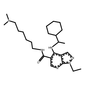 CCn1ncc2c(NC(C)C3CCCCC3)c(C(=O)NCCCCCCN(C)C)cnc21